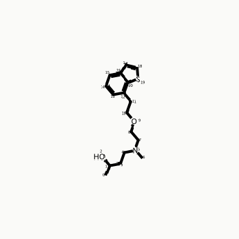 CC(O)CCN(C)CCOCCc1cccc2ccsc12